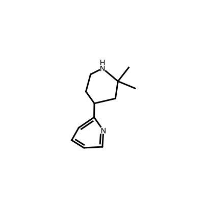 CC1(C)CC(c2ccccn2)CCN1